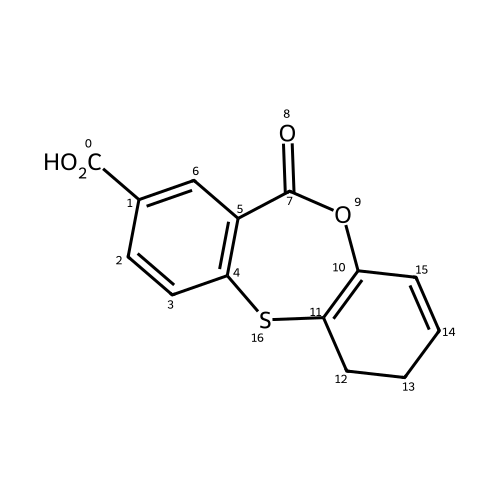 O=C(O)c1ccc2c(c1)C(=O)OC1=C(CCC=C1)S2